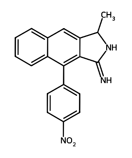 CC1NC(=N)c2c1cc1ccccc1c2-c1ccc([N+](=O)[O-])cc1